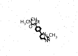 CCN(C(=O)N(C)C)c1ccc(-c2ccc3nnc(C)n3n2)cc1